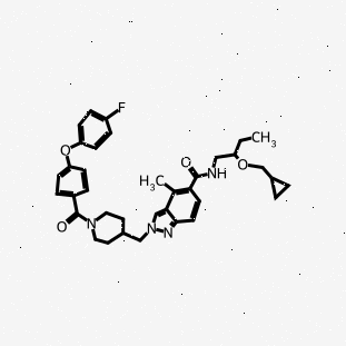 CCC(CNC(=O)c1ccc2nn(CC3CCN(C(=O)c4ccc(Oc5ccc(F)cc5)cc4)CC3)cc2c1C)OCC1CC1